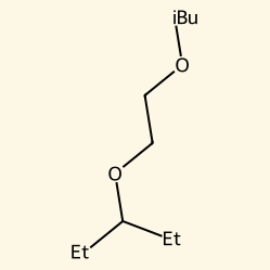 CCC(C)OCCOC(CC)CC